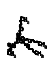 CC=CC(=O)OCCC[Si](OCCOCCCC)(OCCOCCCC)OCCOCCCC